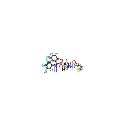 O=C(C[N+]12CCC(CC1)[C@@H](OC(=O)C(Nc1cc(F)c(F)c(F)c1)c1cccc(F)c1)C2)c1cccs1